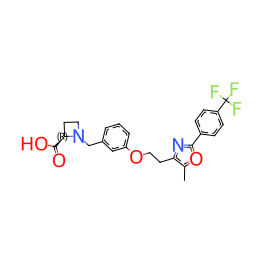 Cc1oc(-c2ccc(C(F)(F)F)cc2)nc1CCOc1cccc(CN2CC[C@@H]2C(=O)O)c1